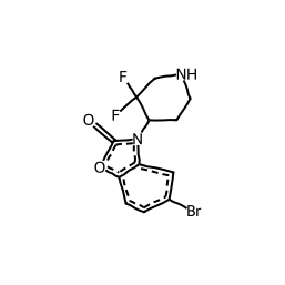 O=c1oc2ccc(Br)cc2n1C1CCNCC1(F)F